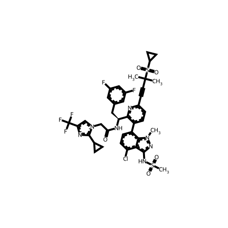 Cn1nc(NS(C)(=O)=O)c2c(Cl)ccc(-c3ccc(C#CC(C)(C)S(=O)(=O)C4CC4)nc3[C@H](Cc3cc(F)cc(F)c3)NC(=O)Cn3cc(C(F)(F)F)nc3C3CC3)c21